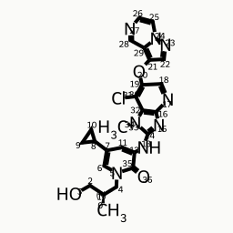 C[C@@H](CO)Cn1cc(C2CC2)cc(Nc2nc3ncc(Oc4cnn5ccncc45)c(Cl)c3n2C)c1=O